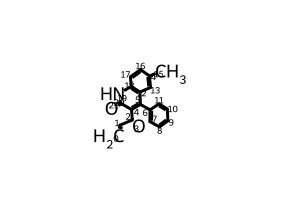 C=CC(=O)c1c(-c2ccccc2)c2cc(C)ccc2[nH]c1=O